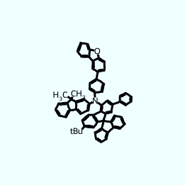 CC(C)(C)c1ccc2c(c1)C1(c3ccccc3-c3ccccc31)c1cc(-c3ccccc3)cc(N(c3ccc(-c4ccc5oc6ccccc6c5c4)cc3)c3ccc4c(c3)C(C)(C)c3ccccc3-4)c1-2